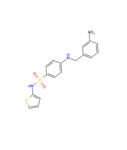 O=[N+]([O-])c1cccc(CNc2ccc(S(=O)(=O)Nc3cccs3)cc2)c1